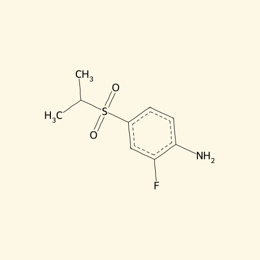 CC(C)S(=O)(=O)c1ccc(N)c(F)c1